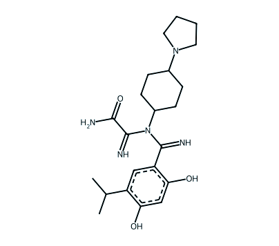 CC(C)c1cc(C(=N)N(C(=N)C(N)=O)C2CCC(N3CCCC3)CC2)c(O)cc1O